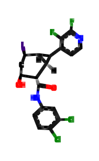 O=C(Nc1ccc(Cl)c(Cl)c1)[C@H]1[C@@H]2C(c3ccnc(F)c3F)[C@@H]2[C@H](I)C[C@@H]1O